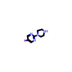 Ic1cnc(N2CCNCC2)nc1